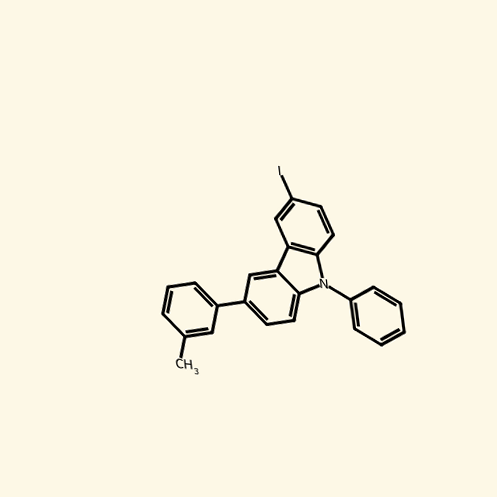 Cc1cccc(-c2ccc3c(c2)c2cc(I)ccc2n3-c2ccccc2)c1